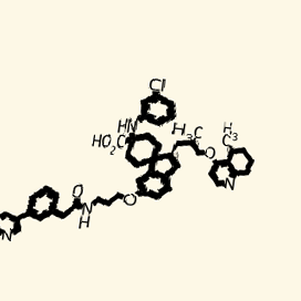 C[C@@H](COc1ccnc2c1[C@H](C)CCC2)C[C@H]1Cc2ccc(OCCCNC(=O)Cc3cccc(-c4cncnc4)c3)cc2C12CCC(Nc1cccc(Cl)c1)(C(=O)O)CC2